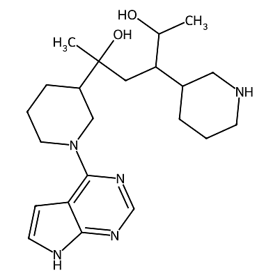 CC(O)C(CC(C)(O)C1CCCN(c2ncnc3[nH]ccc23)C1)C1CCCNC1